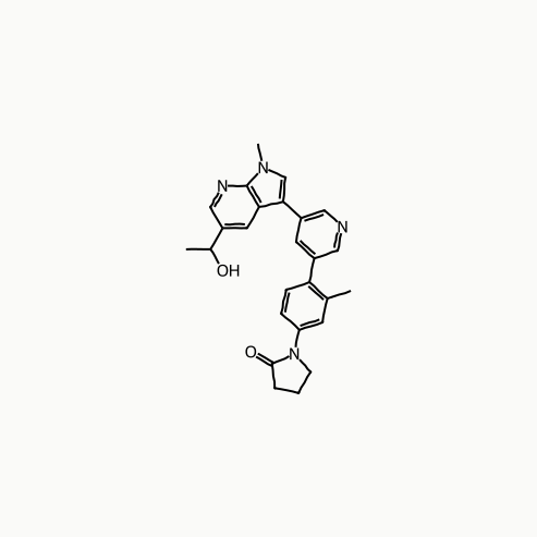 Cc1cc(N2CCCC2=O)ccc1-c1cncc(-c2cn(C)c3ncc(C(C)O)cc23)c1